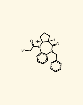 O=C1[C@H]2CCC[C@H]2N(C(=O)CBr)c2ccccc2N1Cc1ccccc1